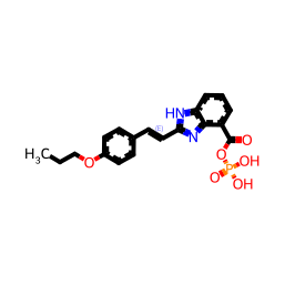 CCCOc1ccc(/C=C/c2nc3c(C(=O)OP(=O)(O)O)cccc3[nH]2)cc1